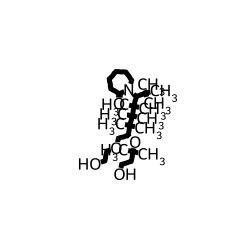 CC(C)(CCO)OC(COCCO)C(C)(C)C(C)(C)C(C)(C)C(N1CCCCCC1=O)C(C)(C)C